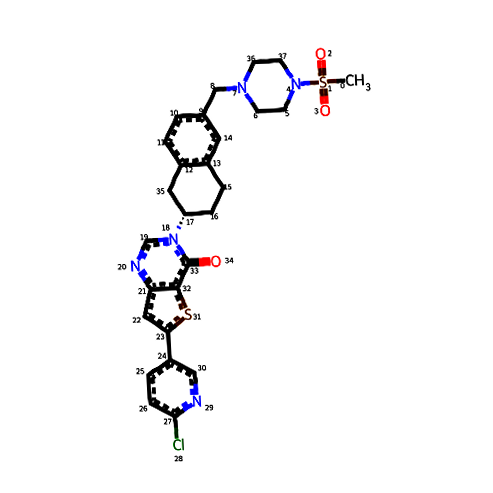 CS(=O)(=O)N1CCN(Cc2ccc3c(c2)CC[C@H](n2cnc4cc(-c5ccc(Cl)nc5)sc4c2=O)C3)CC1